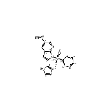 CSc1cnc2c(c1)cc(-c1ncco1)n2S(=O)(=O)c1ccccc1